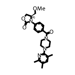 COC[C@@H]1COC(=O)N1c1ccc(C(=O)N2CCN(c3nc(C)c(C)cc3C)CC2)cc1